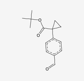 CC(C)(C)OC(=O)C1(c2ccc(C=O)cc2)CC1